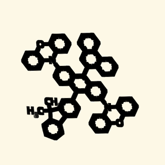 CC1(C)c2ccccc2-c2ccc(-c3c4cc(N5c6ccccc6Oc6ccccc65)ccc4c(-c4cc5ccccc5c5ccccc45)c4cc(N5c6ccccc6Oc6ccccc65)ccc34)cc21